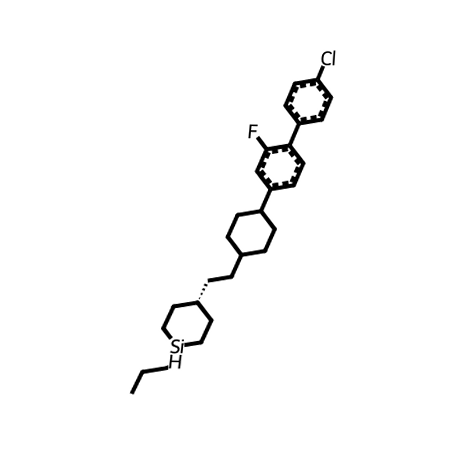 CCC[Si@H]1CC[C@H](CCC2CCC(c3ccc(-c4ccc(Cl)cc4)c(F)c3)CC2)CC1